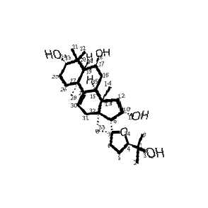 CC(C)(O)[C@H]1CC[C@@](C)([C@H]2[C@@H](O)C[C@@]3(C)[C@@H]4C[C@H](O)[C@H]5C(C)(C)[C@@H](O)CC[C@]5(C)C4=CC[C@]23C)O1